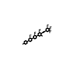 Cc1ccc(-c2ccc(-c3ccc(-c4cc(C)c(C#Cc5cc(F)c(F)c(F)c5)c(F)c4)c(F)c3)c(F)c2)cc1